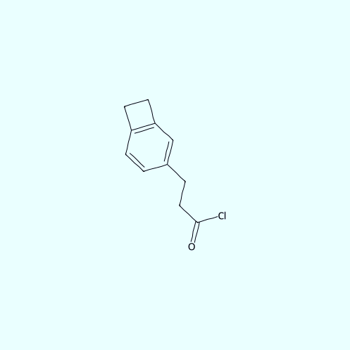 O=C(Cl)CCc1ccc2c(c1)CC2